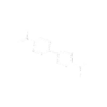 CCC(=O)c1ccc(-c2ccc(C(=O)CC)cc2)cc1